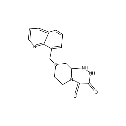 O=C1NNC2CN(Cc3cccc4cccnc34)CCN2C1=O